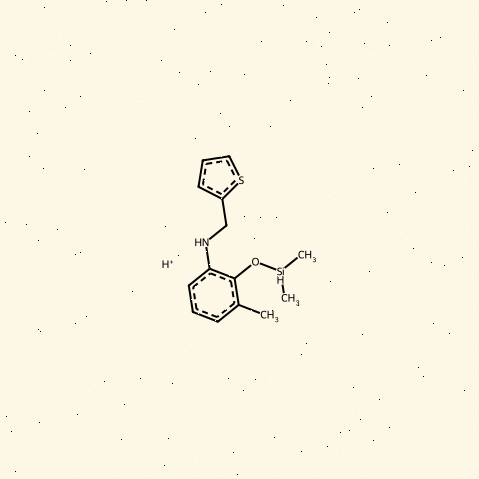 Cc1cccc(NCc2cccs2)c1O[SiH](C)C.[H+]